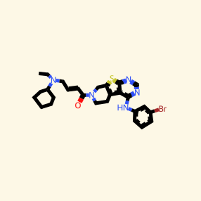 CCN(CC=CC(=O)N1CCc2c(sc3ncnc(Nc4cccc(Br)c4)c23)C1)C1CCCCC1